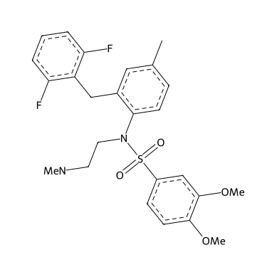 CNCCN(c1ccc(C)cc1Cc1c(F)cccc1F)S(=O)(=O)c1ccc(OC)c(OC)c1